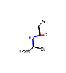 CCCCCC(CC)NC(=O)CC(C)=O